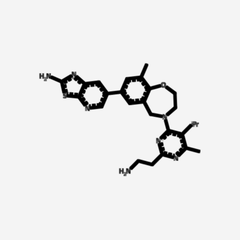 Cc1cc(-c2cnc3sc(N)nc3c2)cc2c1OCCN(c1nc(CCN)nc(C)c1C(C)C)C2